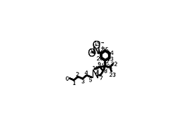 CCCCCCN1CC2C(C1)C2(c1cccc([N+](=O)[O-])c1)C(C)C